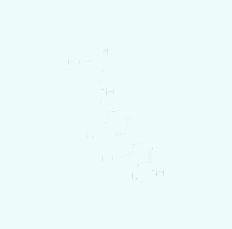 Cc1c(-c2ccc(CNCCC(C)C)cc2)ccc2[nH]cnc12.Cl